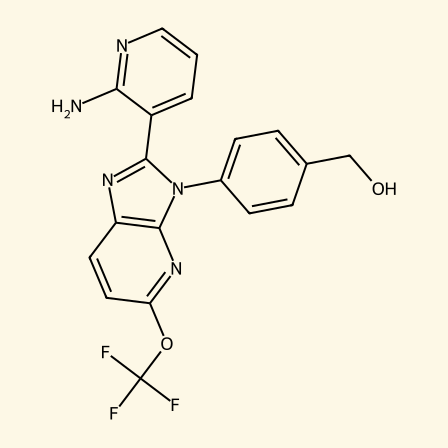 Nc1ncccc1-c1nc2ccc(OC(F)(F)F)nc2n1-c1ccc(CO)cc1